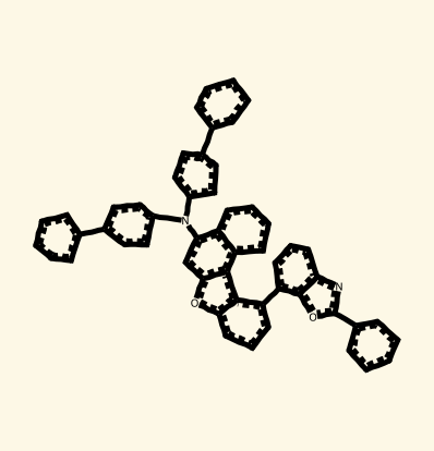 c1ccc(-c2ccc(N(c3ccc(-c4ccccc4)cc3)c3cc4oc5cccc(-c6cccc7nc(-c8ccccc8)oc67)c5c4c4ccccc34)cc2)cc1